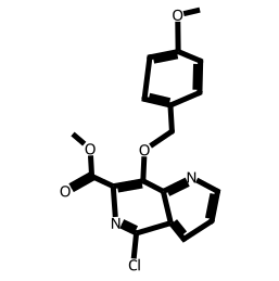 COC(=O)c1nc(Cl)c2cccnc2c1OCc1ccc(OC)cc1